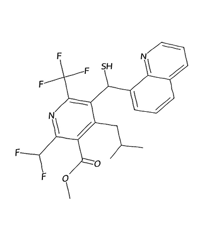 COC(=O)c1c(C(F)F)nc(C(F)(F)F)c(C(S)c2cccc3cccnc23)c1CC(C)C